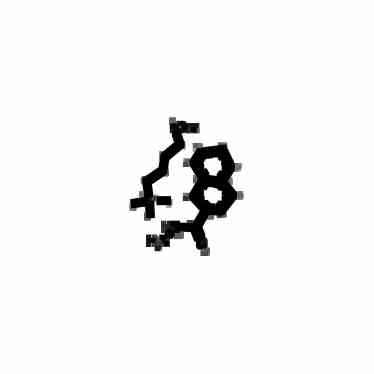 CCCCCCCCCCCCCC[N+](C)(C)C.NNC(=O)c1ccc2ccccc2c1